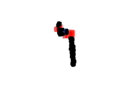 CCCCCCCCCCCCCCCCOP(=O)(O)OCC[n+]1cccc(C(=O)OCC)c1